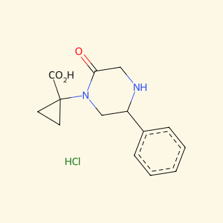 Cl.O=C1CNC(c2ccccc2)CN1C1(C(=O)O)CC1